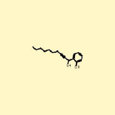 CCCCCCCC#CC(S)c1ccccc1O